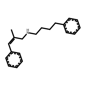 CC(=Cc1ccccc1)CNCCCCc1ccccc1